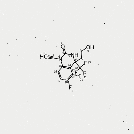 C#CN1C(=O)NC(CCO)(C(F)(F)F)c2c1ccc(F)c2F